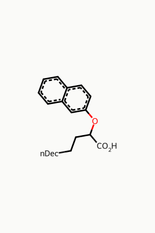 CCCCCCCCCCCCC(Oc1ccc2ccccc2c1)C(=O)O